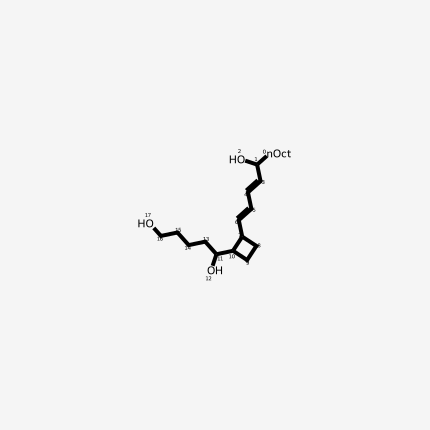 CCCCCCCCC(O)/C=C/C=C/C1CCC1C(O)CCCCO